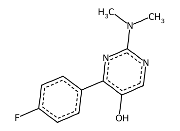 CN(C)c1ncc(O)c(-c2ccc(F)cc2)n1